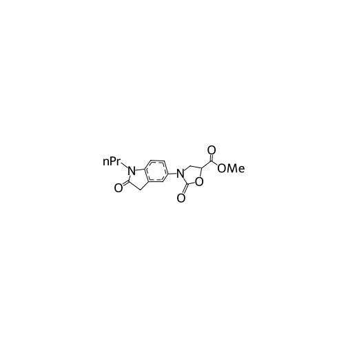 CCCN1C(=O)Cc2cc(N3CC(C(=O)OC)OC3=O)ccc21